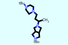 CC(CCN1CCN(C(C)(C)C)CC1)N1CC2CN(C(C)(C)C)CC2C1